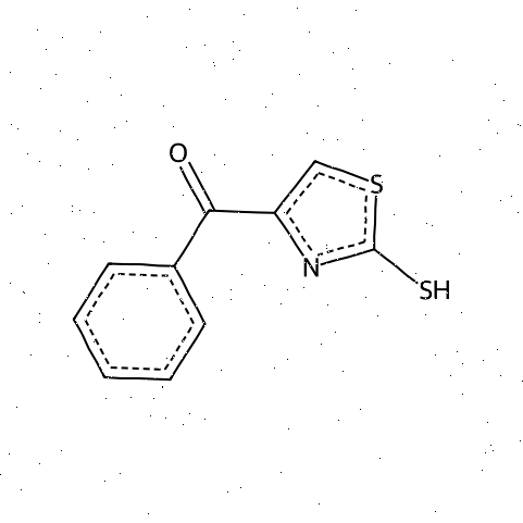 O=C(c1ccccc1)c1csc(S)n1